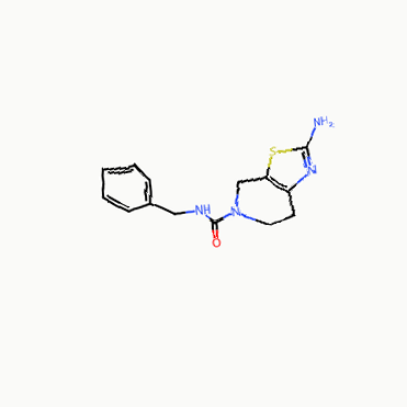 Nc1nc2c(s1)CN(C(=O)NCc1ccccc1)CC2